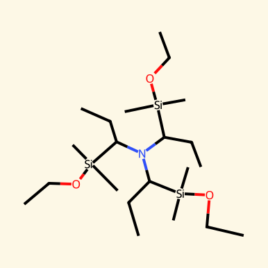 CCO[Si](C)(C)C(CC)N(C(CC)[Si](C)(C)OCC)C(CC)[Si](C)(C)OCC